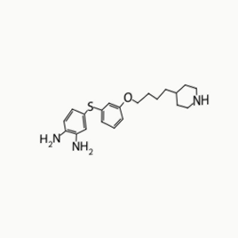 Nc1ccc(Sc2cccc(OCCCCC3CCNCC3)c2)cc1N